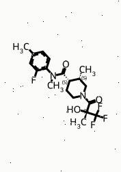 Cc1ccc(N(C)C(=O)[C@H]2CCN(C(=O)[C@@](C)(O)C(F)(F)F)C[C@H]2C)c(F)c1